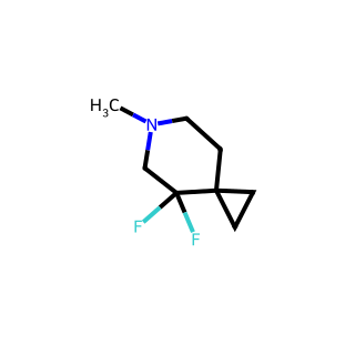 CN1CCC2(CC2)C(F)(F)C1